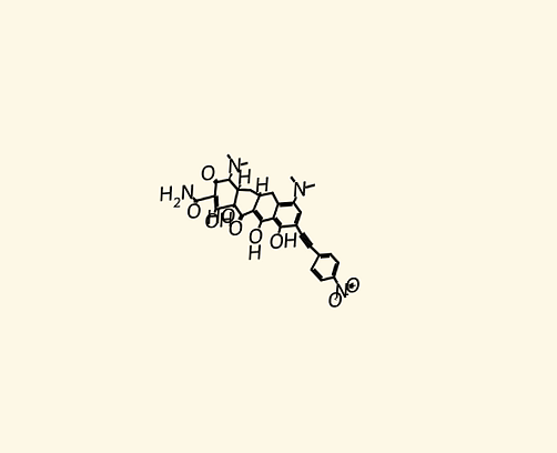 CN(C)c1cc(C#Cc2ccc([N+](=O)[O-])cc2)c(O)c2c1C[C@H]1C[C@H]3[C@H](N(C)C)C(=O)C(C(N)=O)=C(O)[C@@]3(O)C(=O)C1=C2O